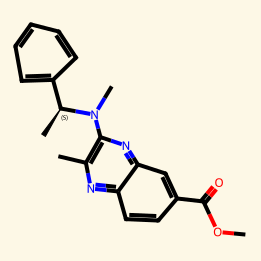 COC(=O)c1ccc2nc(C)c(N(C)[C@@H](C)c3ccccc3)nc2c1